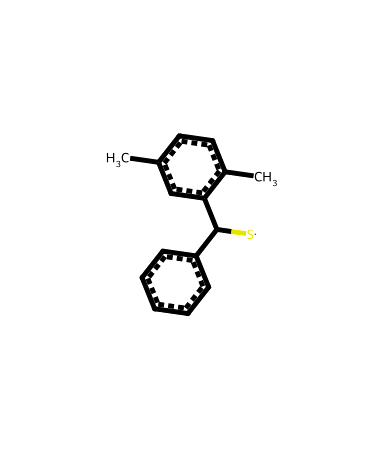 Cc1ccc(C)c(C([S])c2ccccc2)c1